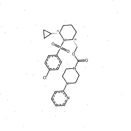 O=C(OC[C@H]1CCC[C@@H](C2CC2)N1S(=O)(=O)c1ccc(Cl)cc1)N1CCN(c2ccccn2)CC1